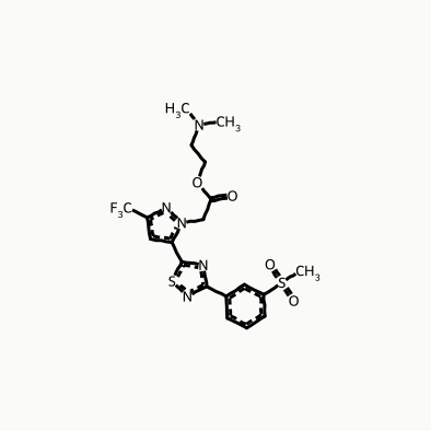 CN(C)CCOC(=O)Cn1nc(C(F)(F)F)cc1-c1nc(-c2cccc(S(C)(=O)=O)c2)ns1